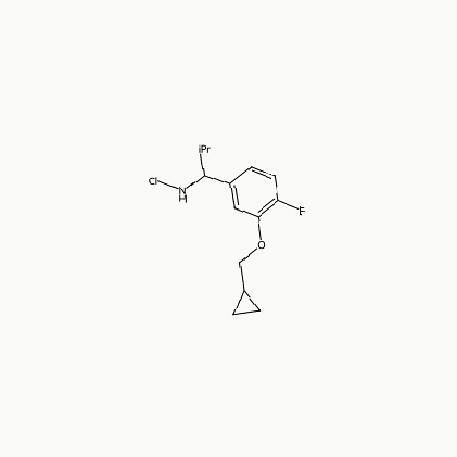 CC(C)C(NCl)c1ccc(F)c(OCC2CC2)c1